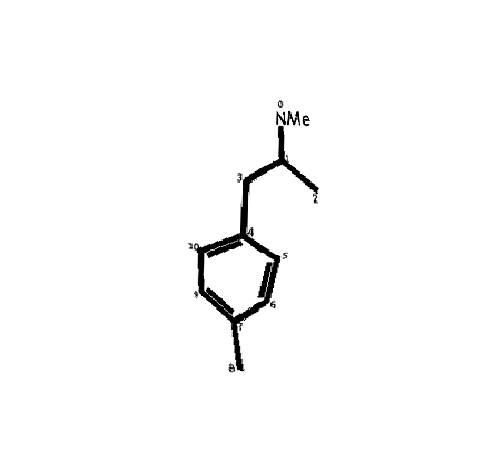 CNC(C)Cc1ccc(C)cc1